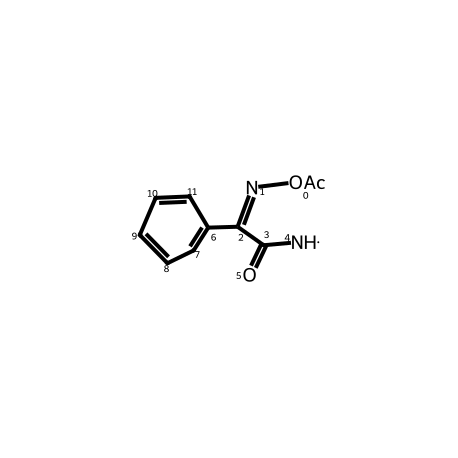 CC(=O)ON=C(C([NH])=O)c1ccccc1